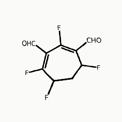 O=CC1=C(F)C(F)CC(F)C(C=O)=C1F